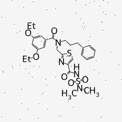 CCOc1cc(OCC)cc(C(=O)N(CCCc2ccccc2)Cc2nc(C(=O)NS(=O)(=O)N(C)C)cs2)c1